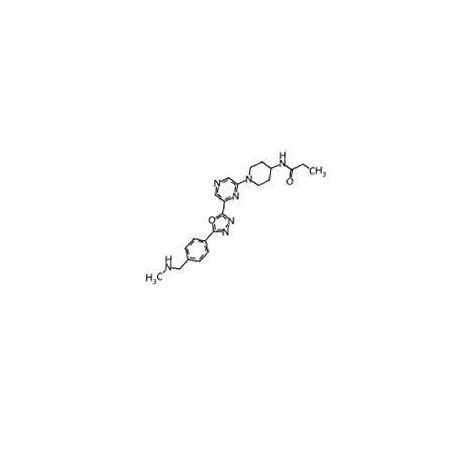 CCC(=O)NC1CCN(c2cncc(-c3nnc(-c4ccc(CNC)cc4)o3)n2)CC1